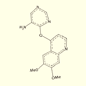 COc1cc2nccc(Oc3ncncc3N)c2cc1OC